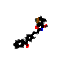 Cc1csc2oc(CCc3ccc(C(=O)c4ccccc4)cc3)nc(=O)c12